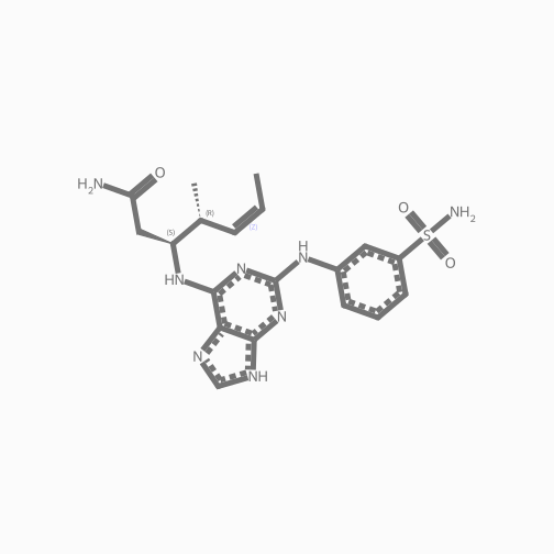 C/C=C\[C@@H](C)[C@H](CC(N)=O)Nc1nc(Nc2cccc(S(N)(=O)=O)c2)nc2[nH]cnc12